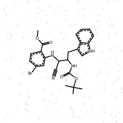 COC(=O)c1ccc(Br)cc1NC(C#N)C(Cc1c[nH]c2ccccc12)NC(=O)OC(C)(C)C